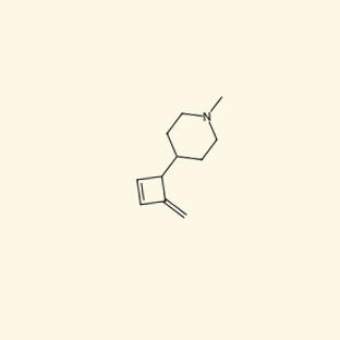 C=C1C=CC1C1CCN(C)CC1